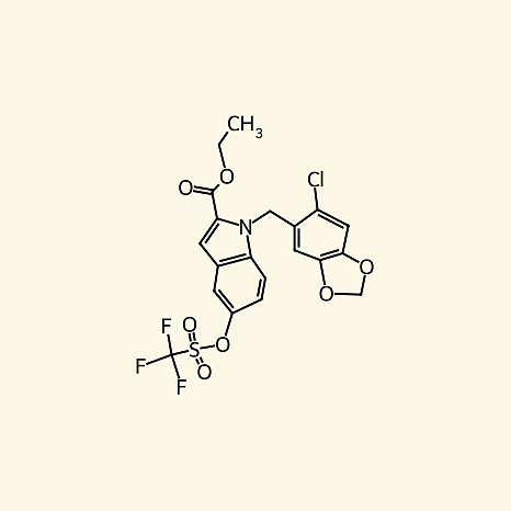 CCOC(=O)c1cc2cc(OS(=O)(=O)C(F)(F)F)ccc2n1Cc1cc2c(cc1Cl)OCO2